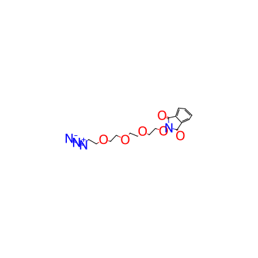 [N-]=[N+]=NCCOCCOCCOCCON1C(=O)c2ccccc2C1=O